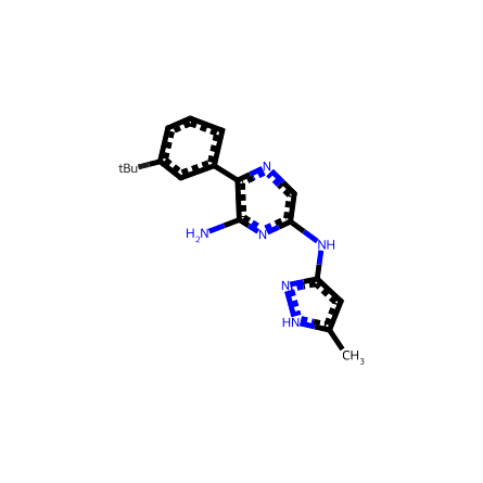 Cc1cc(Nc2cnc(-c3cccc(C(C)(C)C)c3)c(N)n2)n[nH]1